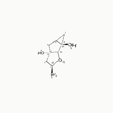 B[C@H]1C[C@@]2(O)CC3C[C@]3(O)C2O1